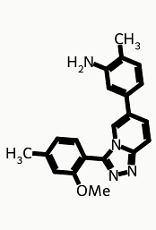 COc1cc(C)ccc1-c1nnc2ccc(-c3ccc(C)c(N)c3)cn12